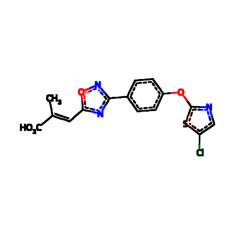 CC(=Cc1nc(-c2ccc(Oc3ncc(Cl)s3)cc2)no1)C(=O)O